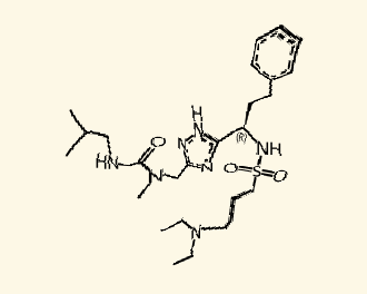 CCN(CC)CCCS(=O)(=O)N[C@H](CCc1ccccc1)c1nc(CN(C)C(=O)NCC(C)C)n[nH]1